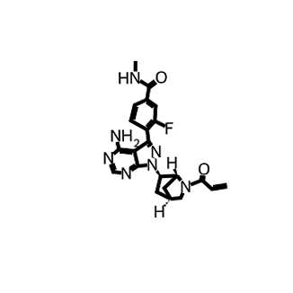 C=CC(=O)N1C[C@@H]2C[C@@H]1[C@H](n1nc(-c3ccc(C(=O)NC)cc3F)c3c(N)ncnc31)C2